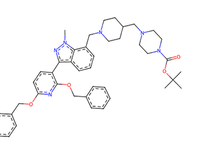 Cn1nc(-c2ccc(OCc3ccccc3)nc2OCc2ccccc2)c2cccc(CN3CCC(CN4CCN(C(=O)OC(C)(C)C)CC4)CC3)c21